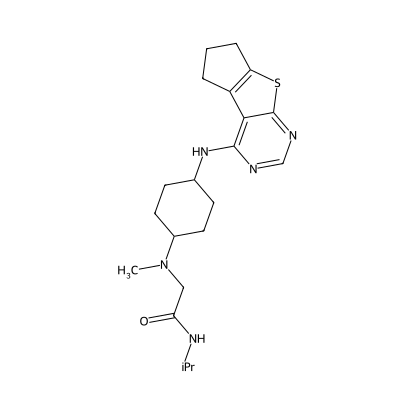 CC(C)NC(=O)CN(C)C1CCC(Nc2ncnc3sc4c(c23)CCC4)CC1